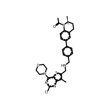 CC(=O)N1c2ccc(-c3ccc(CNCc4sc5c(N6CCOCC6)nc(Cl)nc5c4C)cc3)cc2CC[C@@H]1C